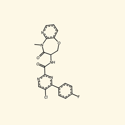 CN1C(=O)C(NC(=O)c2ncc(Cl)c(-c3ccc(F)cc3)n2)COc2cccnc21